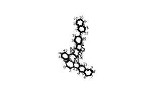 C1=CC2c3cc4ccccc4cc3N(c3nc4sc5cc(-c6ccc7ccccc7c6)ccc5c4nc3-c3ccccc3)C2C=C1